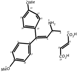 COc1ccc(C(=CC(C)N)c2ccc(OC)cc2)cc1.O=C(O)C=CC(=O)O